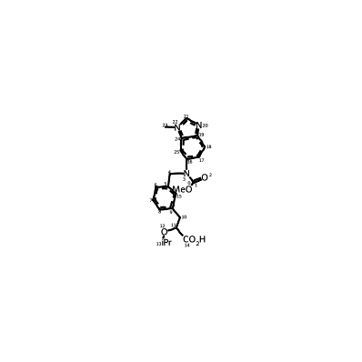 COC(=O)N(Cc1cccc(CC(OC(C)C)C(=O)O)c1)c1ccc2ncn(C)c2c1